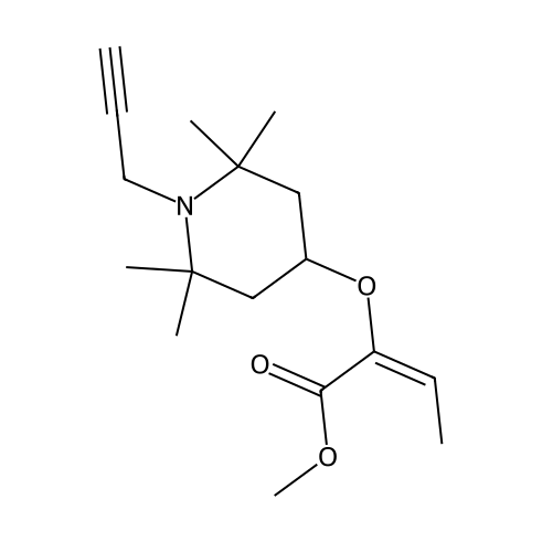 C#CCN1C(C)(C)CC(OC(=CC)C(=O)OC)CC1(C)C